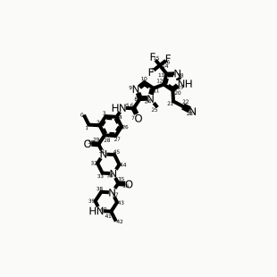 CCc1cc(NC(=O)c2ncc(-c3c(C(F)(F)F)n[nH]c3CC#N)n2C)ccc1C(=O)N1CCN(C(=O)N2CCNC(C)C2)CC1